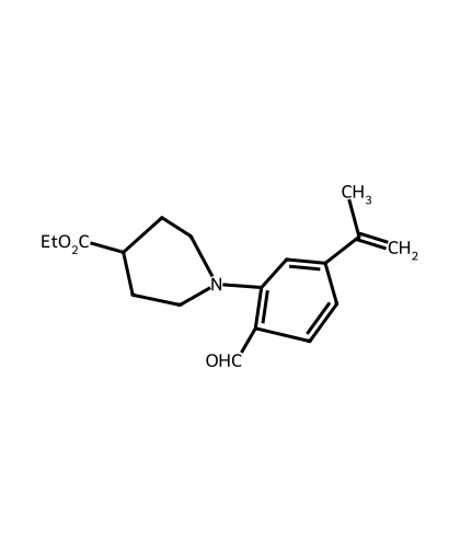 C=C(C)c1ccc(C=O)c(N2CCC(C(=O)OCC)CC2)c1